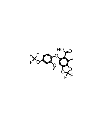 COc1cc(OC(F)(F)F)ccc1Oc1cc2c(c(C)c1C(=O)O)OC(F)(F)O2